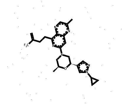 C=C(CCc1nc(N2C[C@H](C)O[C@@H](c3cnn(C4CC4)c3)C2)cc2nc(C)cnc12)C(F)(F)F